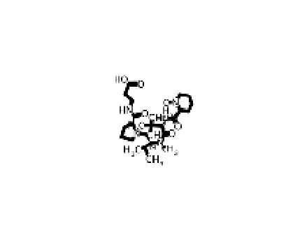 CC(C)[C@@H](CN1CCC[C@H]1C(=O)NCCC(=O)O)N(C)C(=O)[C@@H](NC(=O)C1CCCCN1C)C(C)(C)C